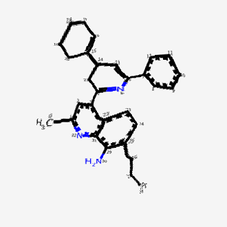 Cc1cc(C2=NC(c3ccccc3)=CC(C3=CCCCC3)C2)c2ccc(CCC(C)C)c(N)c2n1